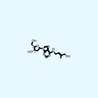 C/C(=C\CNc1ncnc2c1ncn2C1C[C@H](O)[C@@H](CO)O1)CO